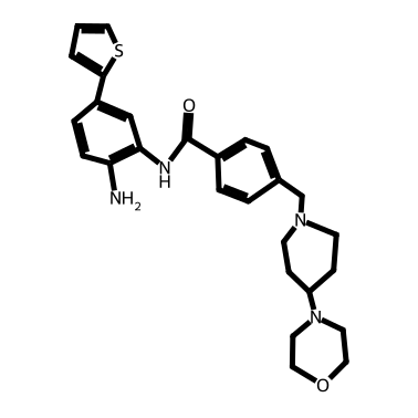 Nc1ccc(-c2cccs2)cc1NC(=O)c1ccc(CN2CCC(N3CCOCC3)CC2)cc1